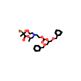 CC(CN(CCO)CCOC(=O)OC(COCc1ccccc1)COCc1ccccc1)OC(=O)C(C)(C)Br